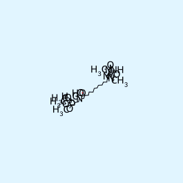 COc1cc(CN(CC(O)CCCCCCCCCc2nc3c(c(=O)[nH]c(=O)n3C)n2C)C(C)=O)cc(OC)c1OC